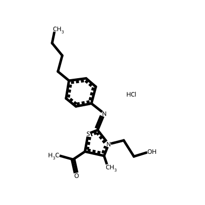 CCCCc1ccc(/N=c2\sc(C(C)=O)c(C)n2CCO)cc1.Cl